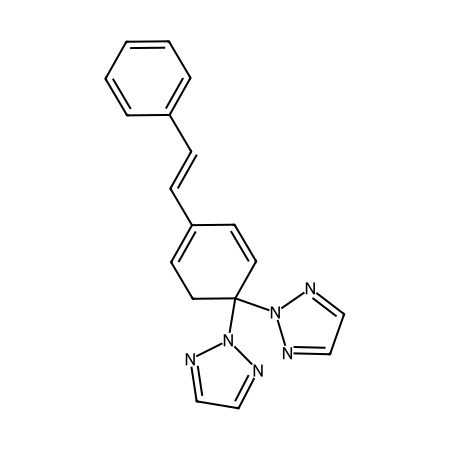 C(=Cc1ccccc1)C1=CCC(n2nccn2)(n2nccn2)C=C1